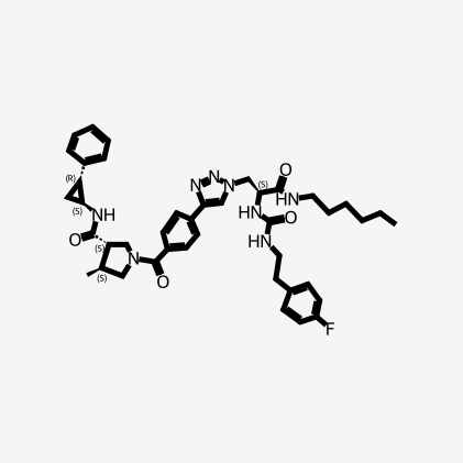 CCCCCCNC(=O)[C@H](Cn1cc(-c2ccc(C(=O)N3C[C@@H](C)[C@H](C(=O)N[C@H]4C[C@@H]4c4ccccc4)C3)cc2)nn1)NC(=O)NCCc1ccc(F)cc1